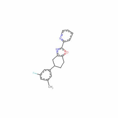 Cc1cc(F)cc(C2CCc3oc(-c4ccccn4)nc3C2)c1